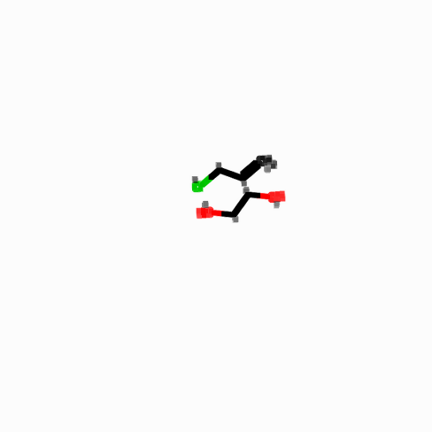 C=CCCl.OCCO